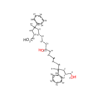 CC(CCCO)(CCCCCC(O)CCCCCC(C)(CCC(=O)O)c1ccccc1)c1ccccc1